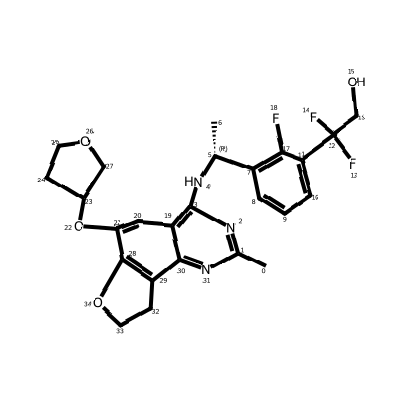 Cc1nc(N[C@H](C)c2cccc(C(F)(F)CO)c2F)c2cc(OC3CCOC3)c3c(c2n1)CCO3